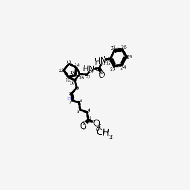 COC(=O)CCC/C=C\CC1C2CCC(C2)C1CNC(=O)Nc1ccccc1